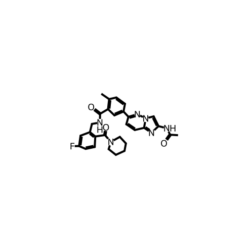 CC(=O)Nc1cn2nc(-c3ccc(C)c(C(=O)NCc4cc(F)ccc4C(=O)N4CCCCC4)c3)ccc2n1